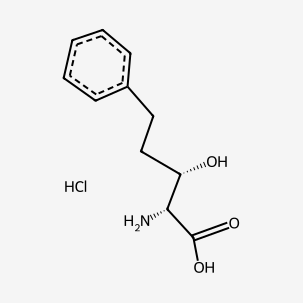 Cl.N[C@@H](C(=O)O)[C@@H](O)CCc1ccccc1